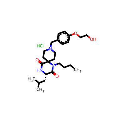 CCCCN1C(=O)[C@H](CC(C)C)NC(=O)C12CCN(Cc1ccc(OCCO)cc1)CC2.Cl